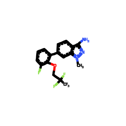 Cn1nc(N)c2ccc(-c3cccc(F)c3OCC(F)(F)C(F)(F)F)cc21